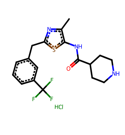 Cc1nc(Cc2cccc(C(F)(F)F)c2)sc1NC(=O)C1CCNCC1.Cl